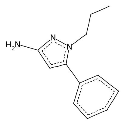 CCCn1nc(N)cc1-c1ccccc1